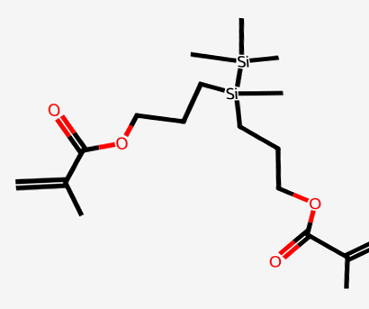 C=C(C)C(=O)OCCC[Si](C)(CCCOC(=O)C(=C)C)[Si](C)(C)C